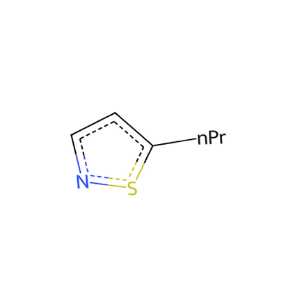 [CH2]CCc1ccns1